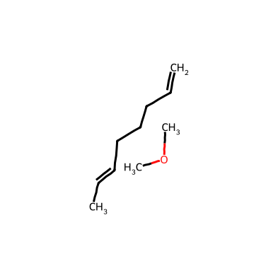 C=CCCCC=CC.COC